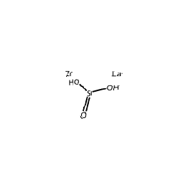 O=[Si](O)O.[La].[Zr]